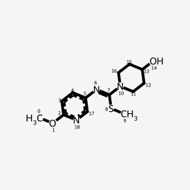 COc1ccc(N=C(SC)N2CCC(O)CC2)cn1